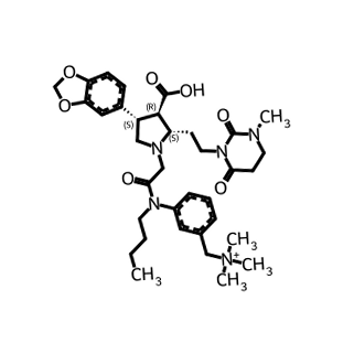 CCCCN(C(=O)CN1C[C@H](c2ccc3c(c2)OCO3)[C@@H](C(=O)O)[C@@H]1CCN1C(=O)CCN(C)C1=O)c1cccc(C[N+](C)(C)C)c1